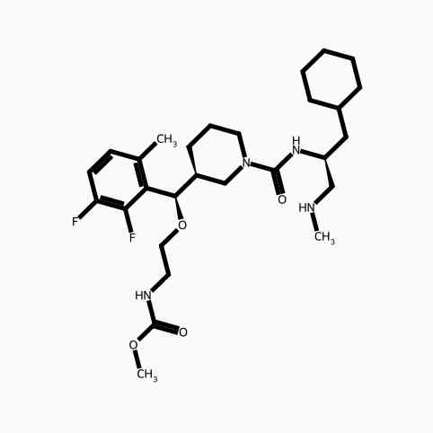 CNC[C@H](CC1CCCCC1)NC(=O)N1CCC[C@H]([C@@H](OCCNC(=O)OC)c2c(C)ccc(F)c2F)C1